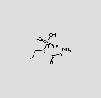 C=CC.CCCS(=O)(=O)O.N